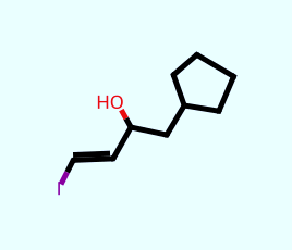 OC(/C=C/I)CC1CCCC1